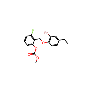 CCc1ccc(OCc2c(F)cccc2OC(=O)OC)c(Br)c1